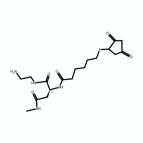 CNC(=O)C[C@H](NC(=O)CCCCCSC1CC(=O)CC1=O)C(=O)NCCN